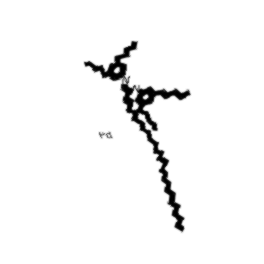 CCCCCCCCCCCCCCCCCCCCCCCCC=CC(C=Nc1cc(CCCCC)cc(CCCCC)c1)=Nc1cc(CCCCC)cc(CCCCC)c1.[Pd]